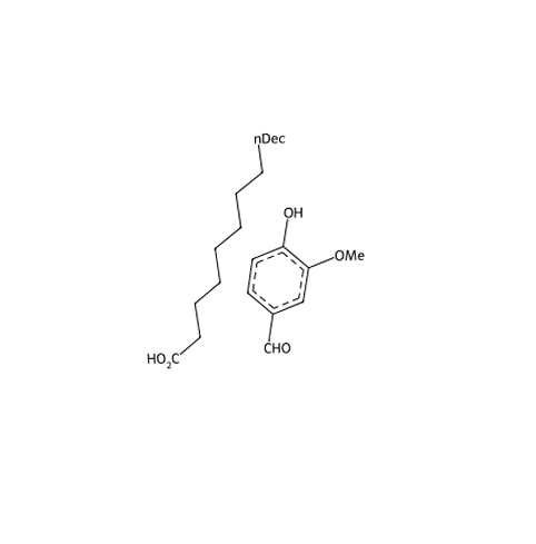 CCCCCCCCCCCCCCCCCC(=O)O.COc1cc(C=O)ccc1O